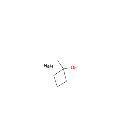 CC1(O)CCC1.[NaH]